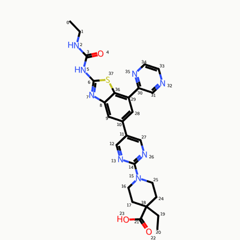 CCNC(=O)Nc1nc2cc(-c3cnc(N4CCC(CC)(C(=O)O)CC4)nc3)cc(-c3cnccn3)c2s1